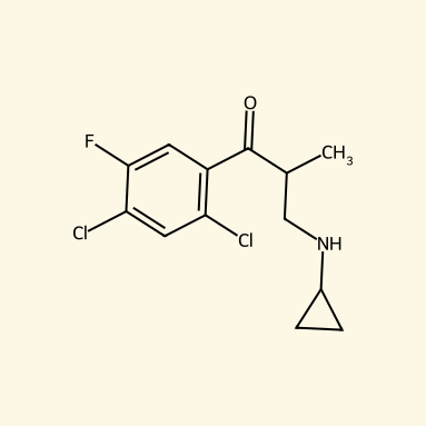 CC(CNC1CC1)C(=O)c1cc(F)c(Cl)cc1Cl